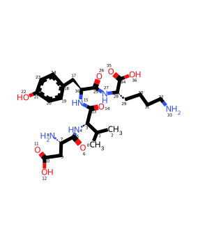 CC(C)[C@H](NC(=O)[C@@H](N)CC(=O)O)C(=O)N[C@@H](Cc1ccc(O)cc1)C(=O)N[C@@H](CCCCN)C(=O)O